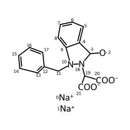 [Na+].[Na+].[O]C1c2ccccc2N(Cc2ccccc2)N1C(C(=O)[O-])C(=O)[O-]